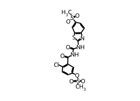 CS(=O)(=O)Oc1ccc(Cl)c(C(=O)NC(=O)Nc2nc3ccc(S(C)(=O)=O)cc3s2)c1